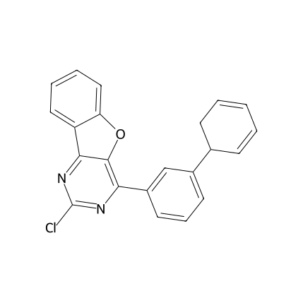 Clc1nc(-c2cccc(C3C=CC=CC3)c2)c2oc3ccccc3c2n1